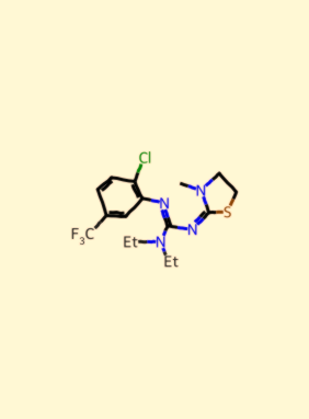 CCN(CC)C(/N=C1/SCCN1C)=N\c1cc(C(F)(F)F)ccc1Cl